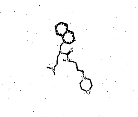 CN(C)CCN(Cc1cccc2ccccc12)C(=S)NCCCN1CCOCC1